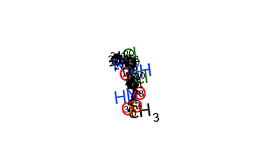 CS(=O)(=O)CCNC(=O)c1ccc(C(=O)Nc2ccc(Cl)c(-c3ccccn3)c2)c(Cl)c1